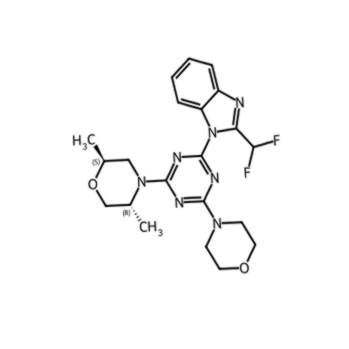 C[C@@H]1CO[C@@H](C)CN1c1nc(N2CCOCC2)nc(-n2c(C(F)F)nc3ccccc32)n1